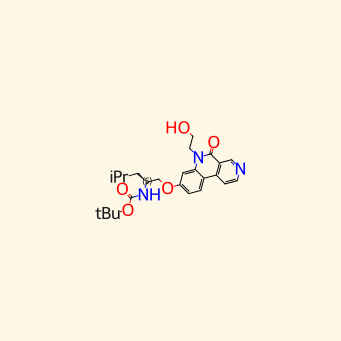 CC(C)C[C@@H](COc1ccc2c3ccncc3c(=O)n(CCO)c2c1)NC(=O)OC(C)(C)C